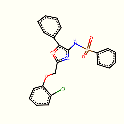 O=S(=O)(Nc1nc(COc2ccccc2Cl)oc1-c1ccccc1)c1ccccc1